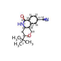 CC(C)(C)C1Cc2[nH]c(=O)c3ccc(C#N)cc3c2CO1